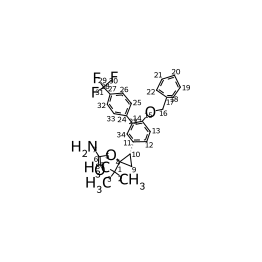 CC(C)(C)[C@@]1(OC(N)=O)C[C@H]1c1ccc(OCc2ccccc2)c(-c2ccc(C(F)(F)F)cc2)c1